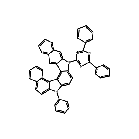 c1ccc(-c2nc(-c3ccccc3)nc(-n3c4cc5ccccc5cc4c4c5c6c7ccccc7ccc6n(-c6ccccc6)c5ccc43)n2)cc1